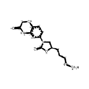 O=C(O)NCCCC1CN(c2ccc3c(n2)NC(=O)CO3)C(=O)O1